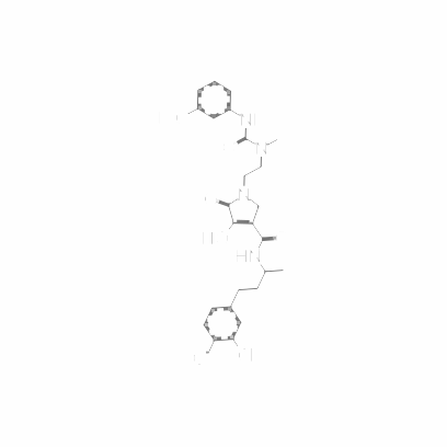 CC(CCc1ccc(Cl)c(Cl)c1)NC(=O)C1=C(O)C(=O)N(CCN(C)C(=O)Nc2cccc(C(F)(F)F)c2)C1